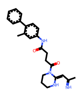 CC(=N)/C=C1\NCCCN1C(=O)CCC(=O)Nc1ccc(-c2ccccc2)c(C)c1